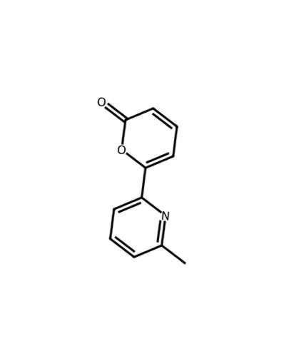 Cc1cccc(-c2cccc(=O)o2)n1